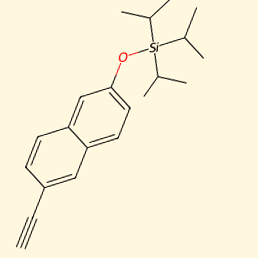 C#Cc1ccc2cc(O[Si](C(C)C)(C(C)C)C(C)C)ccc2c1